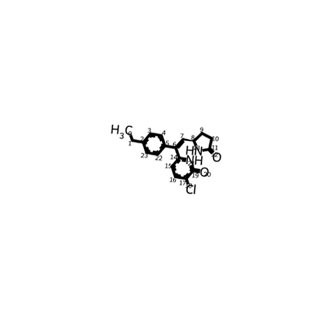 CCc1ccc(/C(=C/[C@H]2CCC(=O)N2)c2ccc(Cl)c(=O)[nH]2)cc1